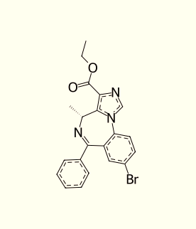 CCOC(=O)c1ncn2c1[C@@H](C)N=C(c1ccccc1)c1cc(Br)ccc1-2